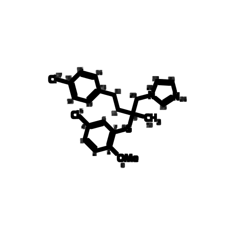 COc1ccc(Cl)cc1SC(C)(CCc1ccc(Cl)cc1)Cn1ccnc1